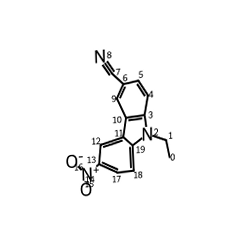 CCn1c2ccc(C#N)cc2c2cc([N+](=O)[O-])ccc21